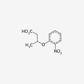 CC(CC(=O)O)Oc1ccccc1[N+](=O)[O-]